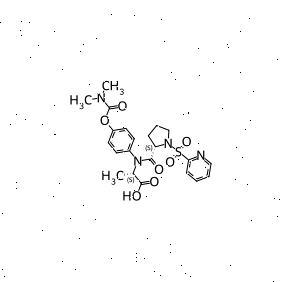 C[C@@H](C(=O)O)N(C(=O)[C@@H]1CCCN1S(=O)(=O)c1ccccn1)c1ccc(OC(=O)N(C)C)cc1